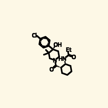 CCC(=O)N[C@@H]1CCCC[C@@H]1C(=O)N1CC[C@](O)(c2ccc(Cl)cc2)C(C)(C)C1